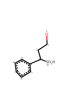 [O]CCC(c1ccccc1)S(=O)(=O)O